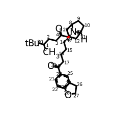 CC(CCC(=O)CN1C2CC[C@@H]1C[C@@H](CCCCC(=O)c1ccc3c(c1)CCO3)C2)C(C)(C)C